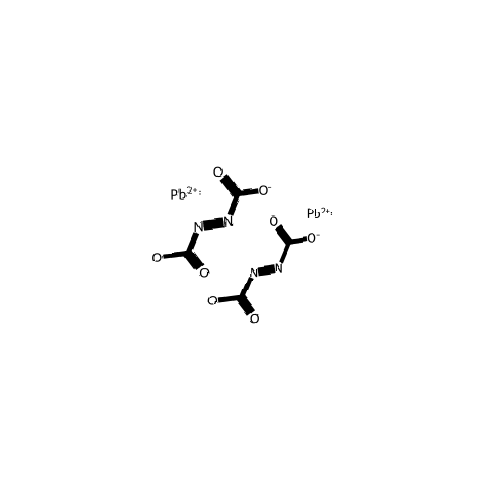 O=C([O-])N=NC(=O)[O-].O=C([O-])N=NC(=O)[O-].[Pb+2].[Pb+2]